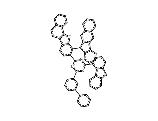 c1ccc(-c2cccc(-c3nc(-c4ccc5c(oc6c7ccccc7ccc56)c4-n4c5ccccc5c5cc6ccccc6cc54)nc(-c4cccc5sc6ccccc6c45)n3)c2)cc1